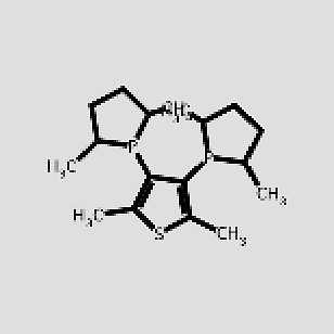 Cc1sc(C)c(P2C(C)CCC2C)c1P1C(C)CCC1C